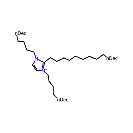 CCCCCCCCCCCCCCCCCCCc1n(CCCCCCCCCCCCCC)cc[n+]1CCCCCCCCCCCCCC